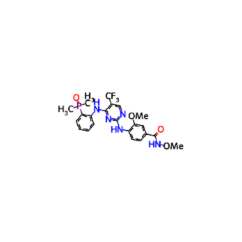 CONC(=O)c1ccc(Nc2ncc(C(F)(F)F)c(Nc3ccccc3P(C)(C)=O)n2)c(OC)c1